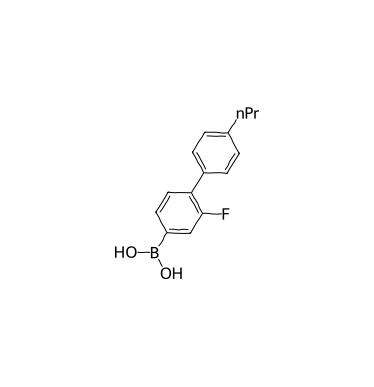 CCCc1ccc(-c2ccc(B(O)O)cc2F)cc1